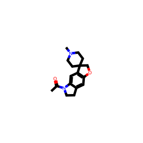 CC(=O)N1CCc2cc3c(cc21)C1(CCN(C)CC1)CO3